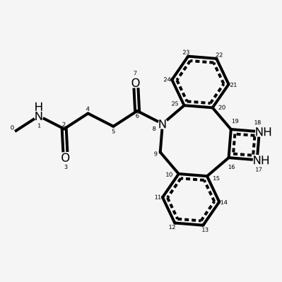 CNC(=O)CCC(=O)N1Cc2ccccc2-c2[nH][nH]c2-c2ccccc21